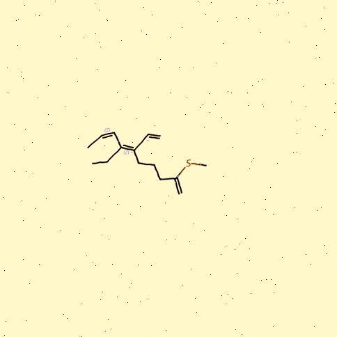 C=C/C(CCCC(=C)SC)=C(\C=C/C)CC